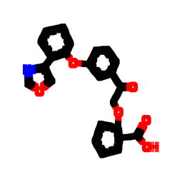 O=C(COc1ccccc1C(=O)O)c1cccc(Oc2ccccc2-c2cocn2)c1